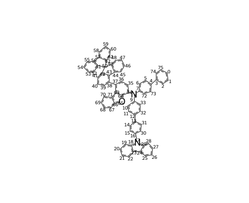 c1ccc(-c2ccc(N(c3ccc(-c4ccc(-n5c6ccccc6c6ccccc65)cc4)cc3)c3ccc(-c4cccc5c4-c4ccccc4C54c5ccccc5-c5ccccc54)c4c3oc3ccccc34)cc2)cc1